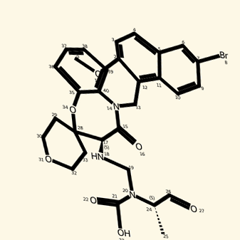 COc1ccc2cc(Br)ccc2c1CN1C(=O)[C@@H](NCN(C(=O)O)[C@@H](C)C=O)C2(CCOCC2)Oc2ccccc21